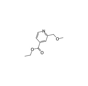 CCOC(=O)c1ccnc(COC)c1